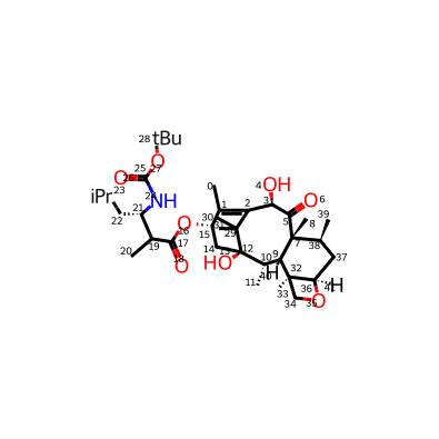 CC1=C2[C@@H](O)C(=O)[C@@]3(C)[C@H]([C@H](C)[C@](O)(C[C@@H]1OC(=O)C(C)[C@H](CC(C)C)NC(=O)OC(C)(C)C)C2(C)C)[C@]1(C)CO[C@@H]1C[C@@H]3C